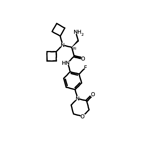 NC[C@@H](C(=O)Nc1ccc(N2CCOCC2=O)cc1F)N(C1CCC1)C1CCC1